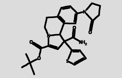 CC(C)(C)OC(=O)C1=CC(C(N)=O)(c2cccs2)C2c3cc(N4CCCC4=O)ccc3CCN12